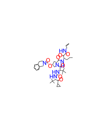 C=CCNC(=O)C(=O)C(CCC)NC(=O)[C@@H]1C[C@@H](OC(=O)N2CCc3ccccc3C2)CN1C(=O)[C@@H](NC(=O)N[C@H](C(=O)C1CC1)C(C)(C)C)C(C)(C)C